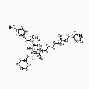 CC(C)c1nc(CN(C)C(=O)N[C@@H](CCN2CCOCC2)C(=O)NCCCCNC(=O)OCc2cncs2)cs1